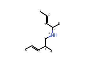 CC=CC(C)CNC(C)C=CC